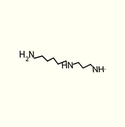 [NH]CCCNCCCCCCN